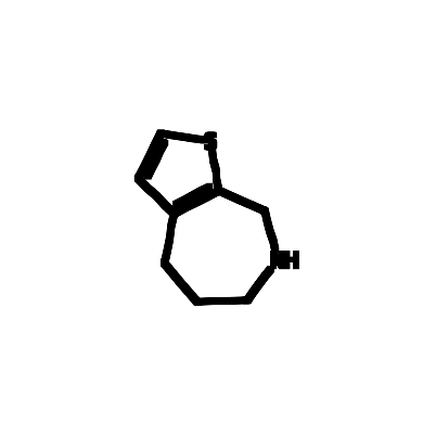 c1cc2c(s1)CNCCC2